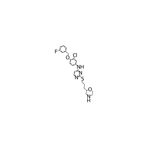 Fc1cccc(COc2ccc(Nc3ccnc(SCCCC4CNCCO4)n3)cc2Cl)c1